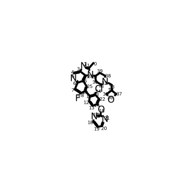 Cc1nc2cnc3cc(F)c(-c4ccc(Oc5ncccn5)cc4Cl)cc3c2n1C1CCN(CC2COC2)CC1